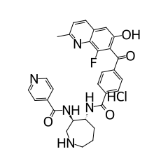 Cc1ccc2cc(O)c(C(=O)c3ccc(C(=O)N[C@@H]4CCCNC[C@H]4NC(=O)c4ccncc4)cc3)c(F)c2n1.Cl